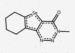 Cn1nnc2c3c([se]c2c1=O)CCCC3